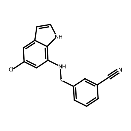 N#Cc1cccc(SNc2cc(Cl)cc3cc[nH]c23)c1